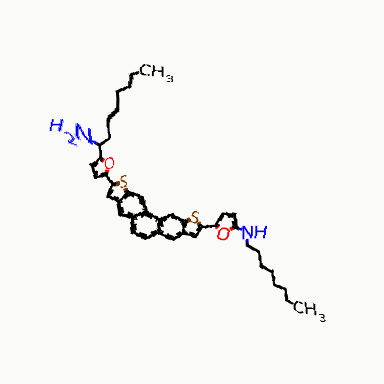 CCCCCCCCNc1ccc(-c2cc3cc4ccc5cc6cc(-c7ccc(C(N)CCCCCCC)o7)sc6cc5c4cc3s2)o1